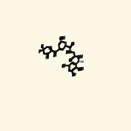 C[C@@H](NC(=O)CNC(=O)c1cc(O)cc(NC2=NCC(F)(F)CN2)c1)c1cc(Cl)cc(Br)c1O